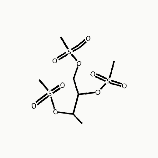 CC(OS(C)(=O)=O)C(COS(C)(=O)=O)OS(C)(=O)=O